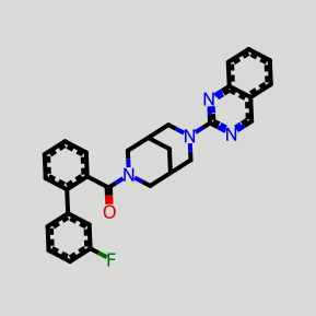 O=C(c1ccccc1-c1cccc(F)c1)N1CC2CC(C1)CN(c1ncc3ccccc3n1)C2